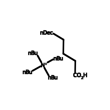 CCCCCCCCCCCCCC(=O)O.CCCC[N+](CCCC)(CCCC)CCCC